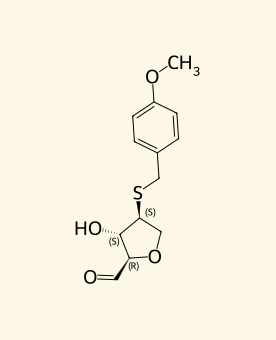 COc1ccc(CS[C@H]2CO[C@@H](C=O)[C@@H]2O)cc1